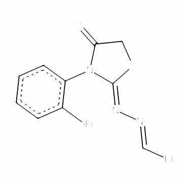 CC/C=N/N=C1\SCC(=O)N1c1ccccc1C(C)C